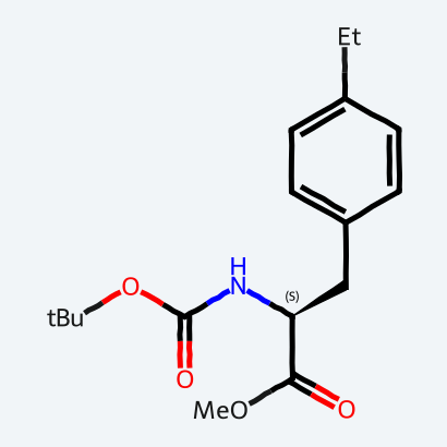 CCc1ccc(C[C@H](NC(=O)OC(C)(C)C)C(=O)OC)cc1